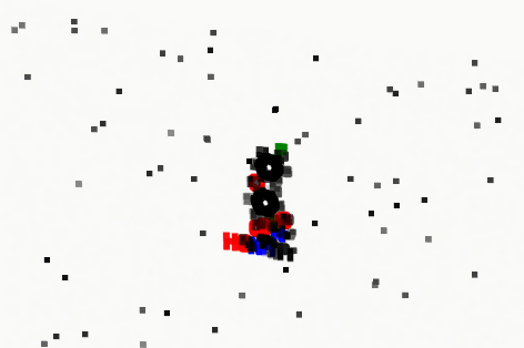 CC(C)C(C(=O)NO)N(C)S(=O)(=O)c1ccc(Oc2ccc(F)cc2)cc1